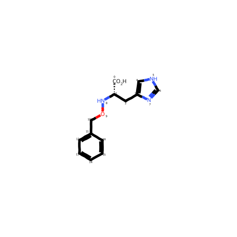 O=C(O)[C@H](Cc1c[nH]cn1)NOCc1ccccc1